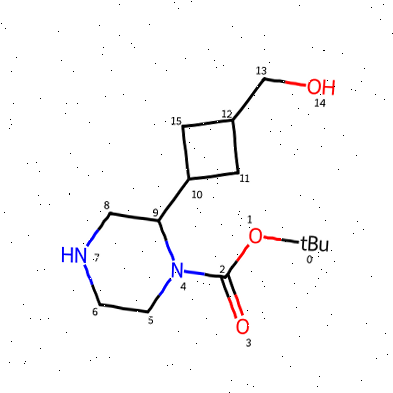 CC(C)(C)OC(=O)N1CCNCC1C1CC(CO)C1